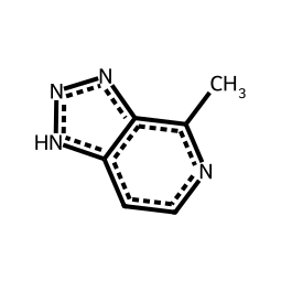 Cc1nccc2[nH]nnc12